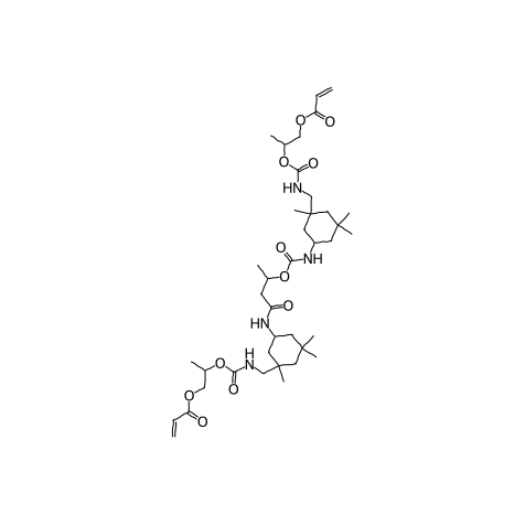 C=CC(=O)OCC(C)OC(=O)NCC1(C)CC(NC(=O)CC(C)OC(=O)NC2CC(C)(C)CC(C)(CNC(=O)OC(C)COC(=O)C=C)C2)CC(C)(C)C1